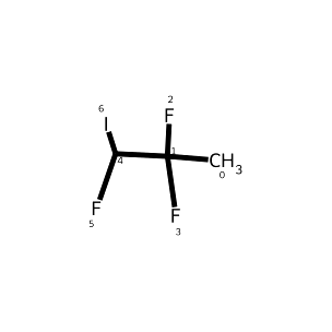 CC(F)(F)C(F)I